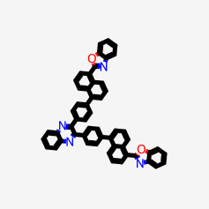 c1ccc2nc(-c3ccc(-c4cccc5c(-c6nc7ccccc7o6)cccc45)cc3)c(-c3ccc(-c4cccc5c(-c6nc7ccccc7o6)cccc45)cc3)nc2c1